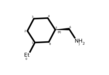 CCC1CCC[C@@H](CN)C1